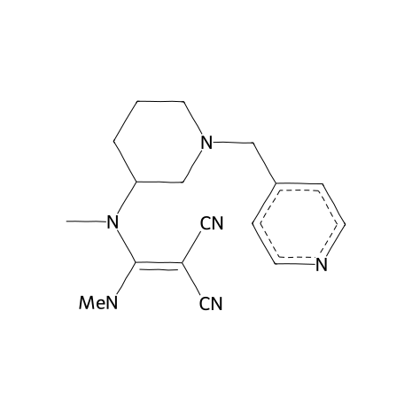 CNC(=C(C#N)C#N)N(C)C1CCCN(Cc2ccncc2)C1